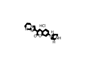 Cl.O=c1oc2cc(N3C[C@@H]4C[C@H]3CN4)ccc2cc1-c1cn2cccnc2n1